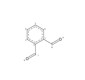 O=Ic1ccccc1I=O